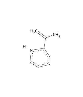 C=C(C)c1ccccn1.I